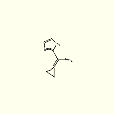 NC(=C1CC1)c1ncc[nH]1